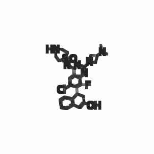 CN(C)C1CN(c2nc(N=S3(=O)CCNCC3)c3cc(Cl)c(C4CC(O)=Cc5ccccc54)c(F)c3n2)C1